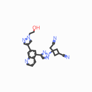 N#CCC1(n2ncc(-c3cc(-c4cnn(CCO)c4)cc4ncccc34)n2)CC(C#N)C1